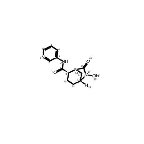 O=C(Nc1cccnc1)[C@@H]1CC[C@@H]2CN1C(=O)N2O